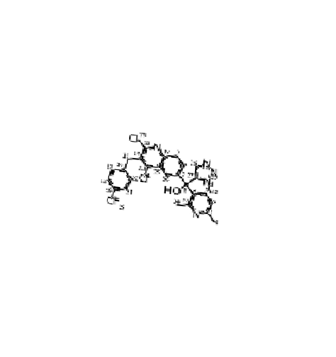 Cc1ccc(C(O)(c2ccc3nc(Cl)c(Cc4ccc(C(F)(F)F)cc4)c(Cl)c3c2)c2cnnn2C)c(C)n1